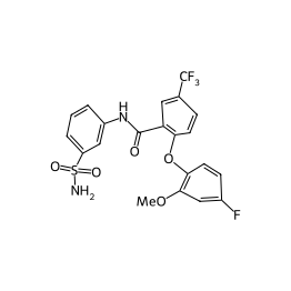 COc1cc(F)ccc1Oc1ccc(C(F)(F)F)cc1C(=O)Nc1cccc(S(N)(=O)=O)c1